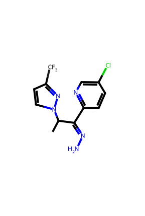 CC(C(=NN)c1ccc(Cl)cn1)n1ccc(C(F)(F)F)n1